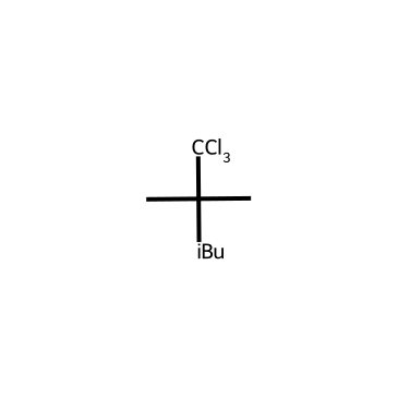 CCC(C)C(C)(C)C(Cl)(Cl)Cl